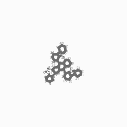 C[Si]1(C)c2ccccc2-c2cc3c(-c4cccc5c4sc4ccccc45)c4ccccc4c(-c4cccc5c4sc4ccccc45)c3cc21